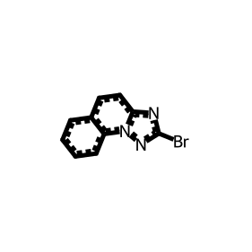 Brc1nc2ccc3ccccc3n2n1